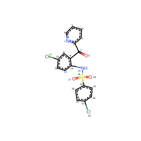 O=C(c1ccccn1)c1cc(Cl)ccc1NS(=O)(=O)c1ccc(Cl)cc1